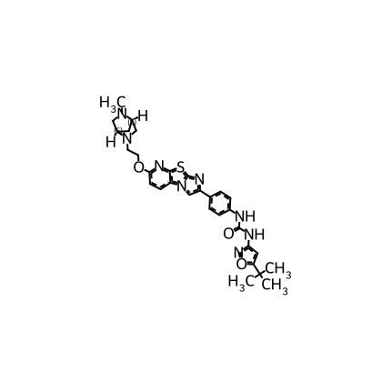 CN1C[C@@H]2C[C@H]1CN2CCOc1ccc2c(n1)sc1nc(-c3ccc(NC(=O)Nc4cc(C(C)(C)C)on4)cc3)cn12